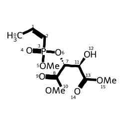 C/C=C\P(=O)(OC)O[C@@H](C(=O)OC)[C@@H](O)C(=O)OC